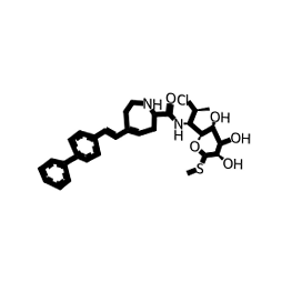 CSC1O[C@H]([C@H](NC(=O)C2CC=C(/C=C/c3ccc(-c4ccccc4)cc3)CCN2)[C@H](C)Cl)[C@@H](O)C(O)[C@H]1O